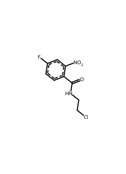 O=C(NCCCl)c1ccc(F)cc1[N+](=O)[O-]